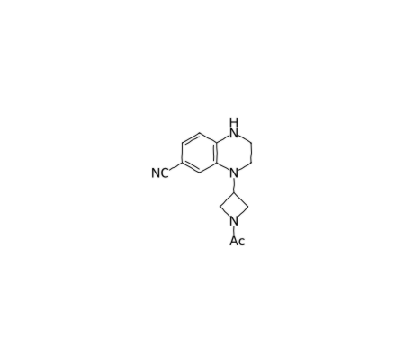 CC(=O)N1CC(N2CCNc3ccc(C#N)cc32)C1